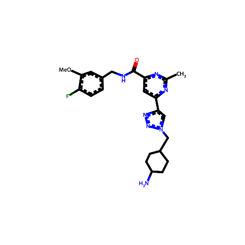 COc1cc(CNC(=O)c2cc(-c3cn(CC4CCC(N)CC4)nn3)nc(C)n2)ccc1F